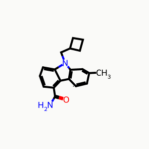 Cc1c[c]c2c3c(C(N)=O)cccc3n(CC3CCC3)c2c1